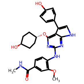 CNC(=O)c1ccc(Nc2nc(O[C@H]3CC[C@H](O)CC3)c3c(-c4ccc(O)cc4)c[nH]c3n2)c(OC)c1